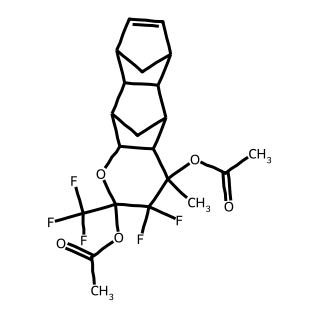 CC(=O)OC1(C)C2C3CC(C2OC(OC(C)=O)(C(F)(F)F)C1(F)F)C1C2C=CC(C2)C31